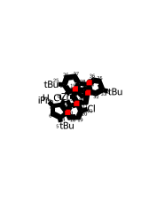 [CH2]=[Zr]([C]1=CC(C(C)(C)C)=CC1C(C)C)([c]1cccc(Cl)c1)([c]1cccc(Cl)c1)[c]1c(C(C)(C)C)ccc2c1Cc1cc(C(C)(C)C)ccc1-2